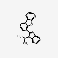 CC(C)n1c(-c2cccc3c2oc2ncccc23)nc2ccccc21